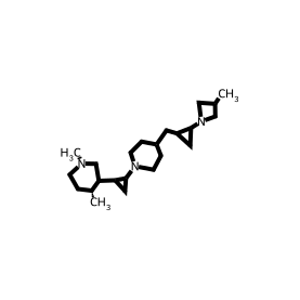 CC1CN(C2CC2CC2CCN(C3CC3C3CN(C)CC[C@H]3C)CC2)C1